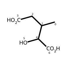 CC(CC(=O)O)C(O)C(=O)O